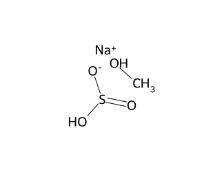 CO.O=S([O-])O.[Na+]